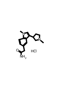 CN1CCC(c2cn(C)c3ccc(CC(N)=O)cc23)C1.Cl